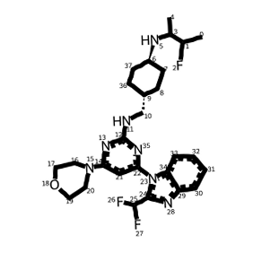 CC(F)C(C)N[C@H]1CC[C@H](CNc2nc(N3CCOCC3)cc(-n3c(C(F)F)nc4ccccc43)n2)CC1